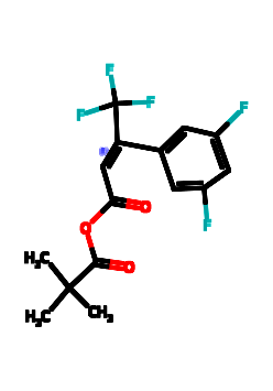 CC(C)(C)C(=O)OC(=O)/C=C(\c1cc(F)cc(F)c1)C(F)(F)F